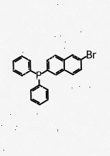 Brc1ccc2cc(P(c3ccccc3)c3ccccc3)ccc2c1